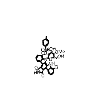 CO[C@H]1[C@H](O)[C@@H](OS(=O)(=O)c2ccc(C)cc2)[C@H](n2c3c(Cl)cccc3c3c4c(c5c6cccc(Cl)c6[nH]c5c32)C(=O)NC4=O)O[C@@H]1CO